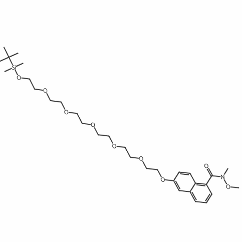 CON(C)C(=O)c1cccc2cc(OCCOCCOCCOCCOCCOCCO[Si](C)(C)C(C)(C)C)ccc12